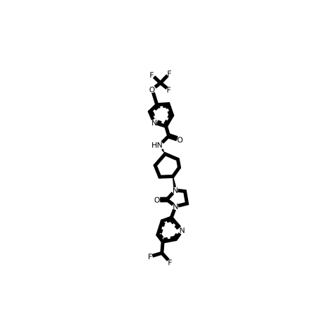 O=C(N[C@H]1CC[C@H](N2CCN(c3ccc(C(F)F)cn3)C2=O)CC1)c1ccc(OC(F)(F)F)cn1